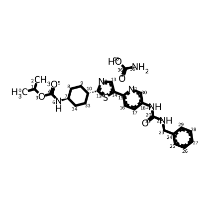 CC(C)OC(=O)N[C@H]1CC[C@H](c2ncc(-c3ccc(NC(=O)NCc4ccccc4)cn3)s2)CC1.NC(=O)O